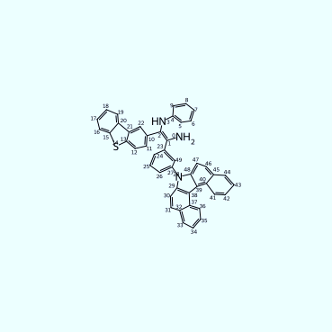 N/C(=C(\Nc1ccccc1)c1ccc2sc3ccccc3c2c1)c1cccc(-n2c3ccc4ccccc4c3c3c4ccccc4ccc32)c1